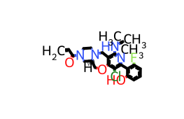 C=CC(=O)N1CCN2Cc3c(NC(C)(C)C)nc(-c4c(O)cccc4F)c(Cl)c3OC[C@H]2C1